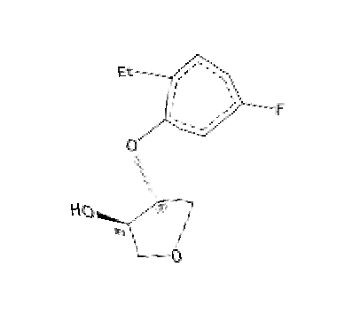 CCc1ccc(F)cc1O[C@@H]1COC[C@H]1O